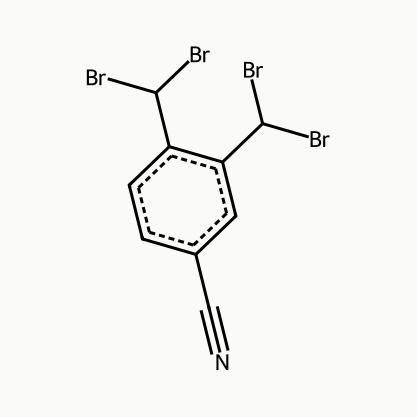 N#Cc1ccc(C(Br)Br)c(C(Br)Br)c1